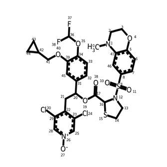 CN1CCOc2ccc(S(=O)(=O)N3CCSC3C(=O)OC(Cc3c(Cl)c[n+]([O-])cc3Cl)c3ccc(OC(F)F)c(OCC4CC4)c3)cc21